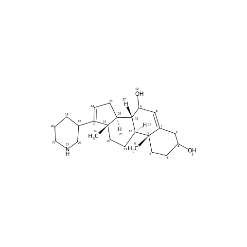 C[C@]12CCC(O)CC1=CC(O)[C@@H]1[C@@H]2CC[C@]2(C)C(C3CCCNC3)=CC[C@@H]12